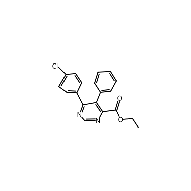 CCOC(=O)c1ncnc(-c2ccc(Cl)cc2)c1-c1ccccc1